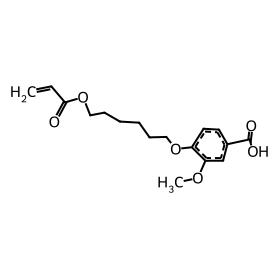 C=CC(=O)OCCCCCCOc1ccc(C(=O)O)cc1OC